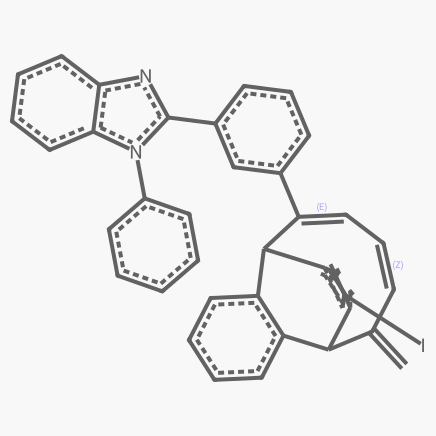 C=C1/C=C\C=C(\c2cccc(-c3nc4ccccc4n3-c3ccccc3)c2)C2c3ccccc3C1c1c(I)cccc12